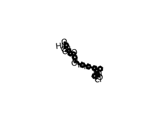 O=C1CC[C@H](N2Cc3c(ccc4c3OCC43CCN(C(=O)CCN4CCC(N5CCC(c6ccc7c(c6)-n6c(nc(=O)c8c(Cl)cccc86)C76CCCCC6)CC5)CC4)CC3)C2=O)C(=O)N1